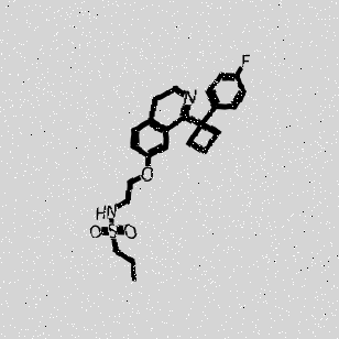 CCCS(=O)(=O)NCCOc1ccc2c(c1)C(C1(c3ccc(F)cc3)CCC1)=NCC2